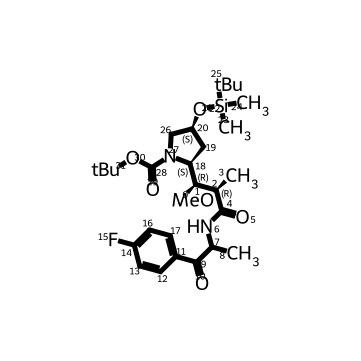 CO[C@H]([C@@H](C)C(=O)NC(C)C(=O)c1ccc(F)cc1)[C@@H]1C[C@H](O[Si](C)(C)C(C)(C)C)CN1C(=O)OC(C)(C)C